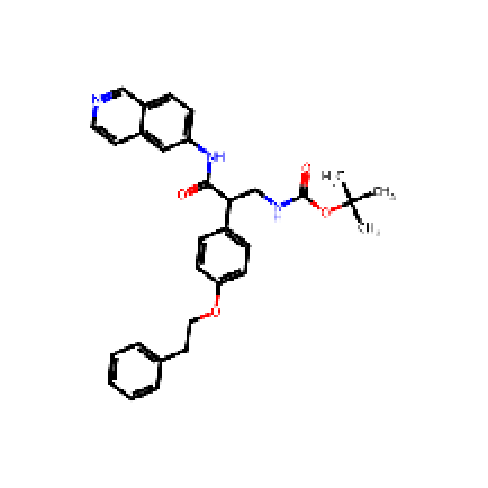 CC(C)(C)OC(=O)NCC(C(=O)Nc1ccc2cnccc2c1)c1ccc(OCCc2ccccc2)cc1